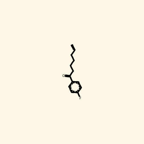 C=C[CH]CCCC(=O)c1ccc(F)cc1